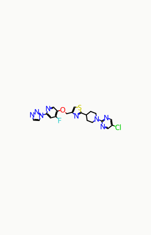 Fc1cc(-n2ccnn2)ncc1OCc1csc(C2CCN(c3ncc(Cl)cn3)CC2)n1